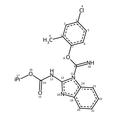 Cc1cc(Cl)ccc1OC(=N)n1c(NC(=O)OC(C)C)nc2ccccc21